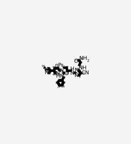 CCC[C@@H](CCCNc1ncc(C#N)c(NCCC(N)=O)n1)N(C(=O)NCc1ccccc1)c1ccc(-c2cnn(C)c2)cn1